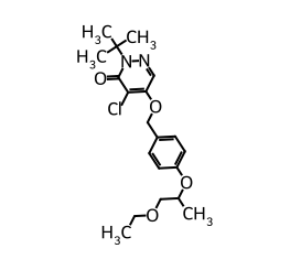 CCOCC(C)Oc1ccc(COc2cnn(C(C)(C)C)c(=O)c2Cl)cc1